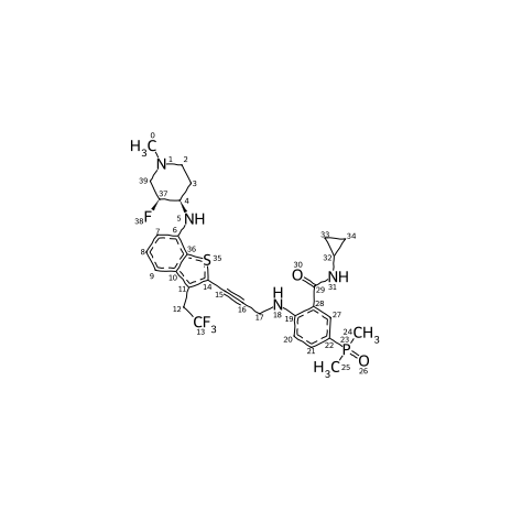 CN1CC[C@@H](Nc2cccc3c(CC(F)(F)F)c(C#CCNc4ccc(P(C)(C)=O)cc4C(=O)NC4CC4)sc23)[C@@H](F)C1